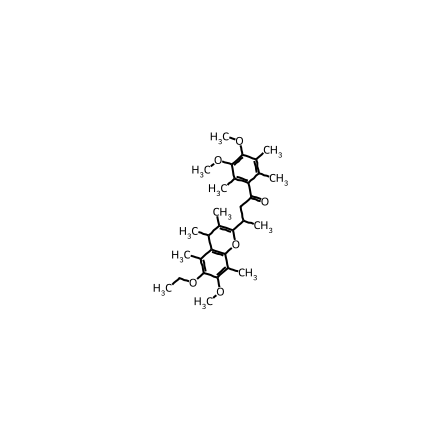 CCOc1c(C)c2c(c(C)c1OC)OC(C(C)CC(=O)c1c(C)c(C)c(OC)c(OC)c1C)=C(C)C2C